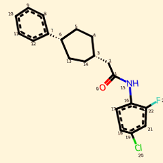 O=C(C[C@H]1CC[C@@H](c2ccccc2)CC1)Nc1ccc(Cl)cc1F